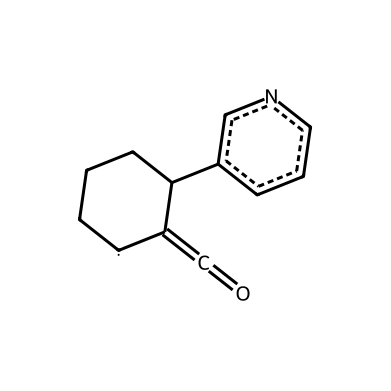 O=C=C1[CH]CCCC1c1cccnc1